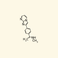 C=C(NC)c1ccc(-c2cn3cccnc3n2)cc1